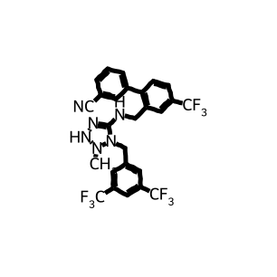 CN1NN=C(NCc2cc(C(F)(F)F)ccc2-c2cccc(C#N)c2)N1Cc1cc(C(F)(F)F)cc(C(F)(F)F)c1